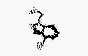 N#CCn1ncc2c([N+](=O)[O-])cccc21